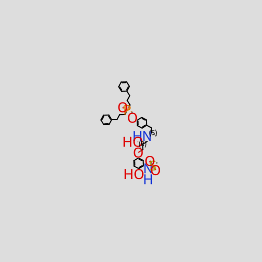 C[C@@H](Cc1ccc(OCP(=O)(CCCc2ccccc2)CCCc2ccccc2)cc1)NC[C@@H](O)COc1ccc(O)c(NS(C)(=O)=O)c1